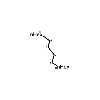 C[C]CCCCCCCCCCCCCC